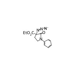 CCOC(=O)C1(N=[N+]=[N-])CCN(c2ccccc2)C1=O